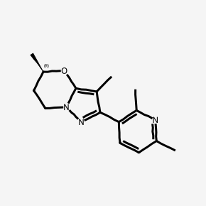 Cc1ccc(-c2nn3c(c2C)O[C@H](C)CC3)c(C)n1